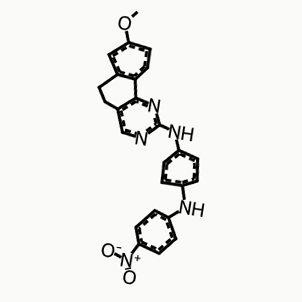 COc1ccc2c(c1)CCc1cnc(Nc3ccc(Nc4ccc([N+](=O)[O-])cc4)cc3)nc1-2